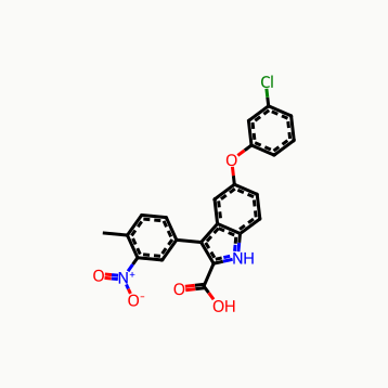 Cc1ccc(-c2c(C(=O)O)[nH]c3ccc(Oc4cccc(Cl)c4)cc23)cc1[N+](=O)[O-]